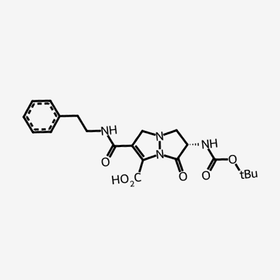 CC(C)(C)OC(=O)N[C@H]1CN2CC(C(=O)NCCc3ccccc3)=C(C(=O)O)N2C1=O